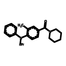 CCCN(c1ccccc1)c1ccc(C(=O)N2CCCCC2)cc1C